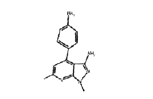 Cc1cc(-c2ccc(N)cc2)c2c(N)nn(C)c2n1